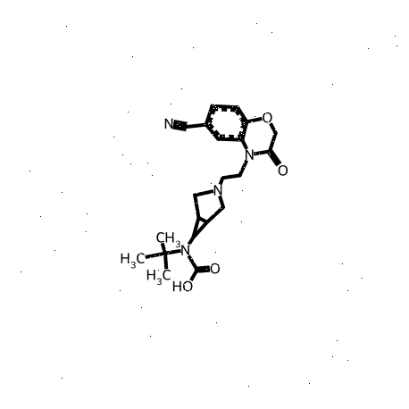 CC(C)(C)N(C(=O)O)C1C2CN(CCN3C(=O)COc4ccc(C#N)cc43)CC21